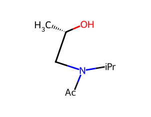 CC(=O)N(C[C@H](C)O)C(C)C